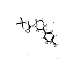 CC(C)(C)OC(=O)N1CCOC(c2ccc(Br)cc2)C1